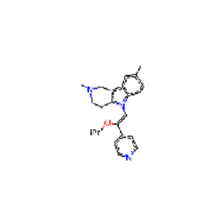 Cc1ccc2c(c1)c1c(n2C=C(OC(C)C)c2ccncc2)CCN(C)C1